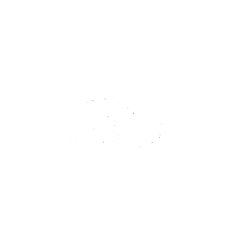 C1CC[SiH2]OC1.CC1(C)CCC(C)(C)C1(C)C